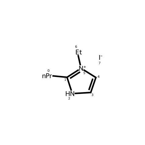 CCCc1[nH]cc[n+]1CC.[I-]